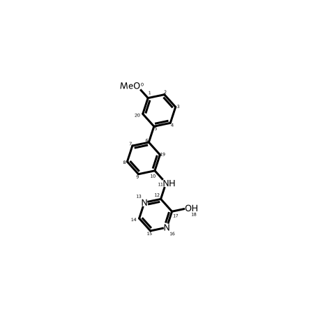 COc1cccc(-c2cccc(Nc3nccnc3O)c2)c1